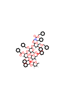 CC1O[C@@H](O[C@@H]2C(OC(=O)c3ccccc3)[C@H](O[C@@H]3C(COCc4ccccc4)O[C@H](OC4[C@@H](OCN(Cc5ccccc5)C(=O)OCc5ccccc5)OC(COCc5ccccc5)[C@@H](C)[C@@H]4C)C(OCc4ccccc4)[C@H]3O[C@@H]3OC(C)[C@H](C)[C@H](C)C3OC(=O)c3ccccc3)OC(COCc3ccccc3)[C@H]2C)C(OC(=O)c2ccccc2)[C@@H](C)[C@H]1C